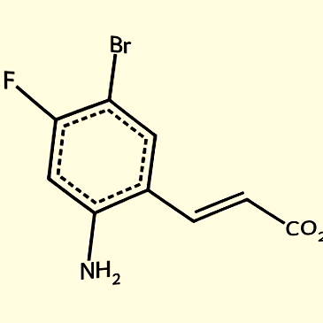 Nc1cc(F)c(Br)cc1C=CC(=O)O